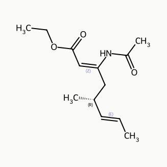 C/C=C/[C@H](C)C/C(=C/C(=O)OCC)NC(C)=O